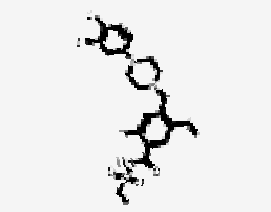 CCc1cc(C(=O)NS(=O)(=O)CC)c(F)cc1CN1CCN(c2ccc(Cl)c(Cl)c2)CC1